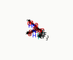 C=CC(=O)OCCNC(=O)OCC(COC(=O)C(F)(OC(F)(F)C(C)(F)C(F)(F)F)C(F)(F)F)OC(=O)NCCOC(=O)C=C